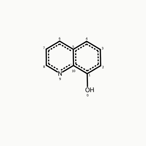 Oc1cc[c]c2cccnc12